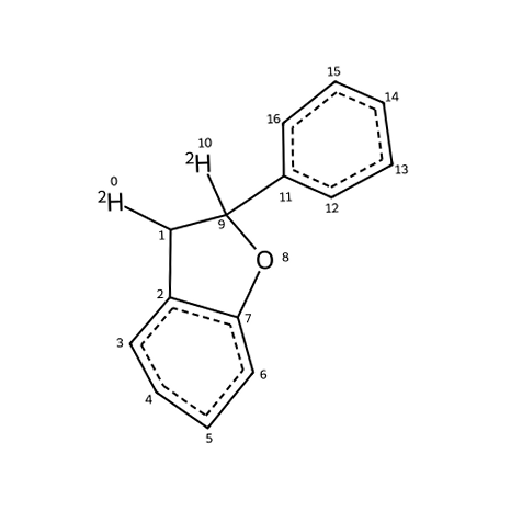 [2H]C1c2ccccc2OC1([2H])c1ccccc1